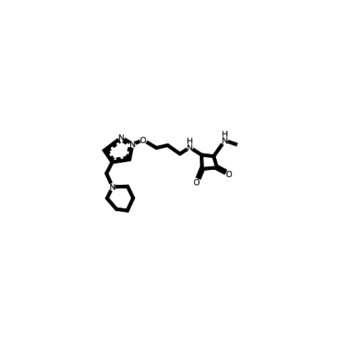 CNC1C(=O)C(=O)C1NCCCOn1cc(CN2CCCCC2)cn1